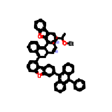 CCOC(C)/C=C\C=C/C1CC(c2cccc3oc4cc(-c5c6ccccc6c(-c6ccccc6)c6ccccc56)ccc4c23)=c2ccccc2=C1c1cccc2c1oc1ccccc12